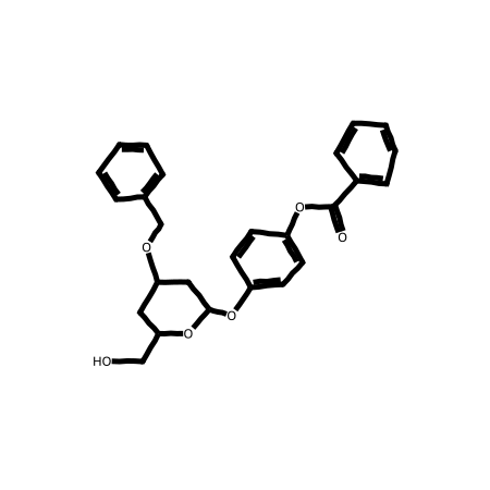 O=C(Oc1ccc(OC2CC(OCc3ccccc3)CC(CO)O2)cc1)c1ccccc1